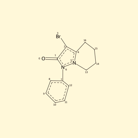 O=c1c(Br)c2n(n1-c1ccccc1)CCCC2